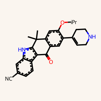 CC(C)Oc1cc2c(cc1C1=CCNCC1)C(=O)c1c([nH]c3cc(C#N)ccc13)C2(C)C